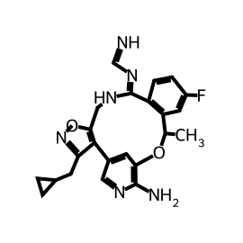 CC1Oc2cc(cnc2N)-c2c(CC3CC3)noc2CN/C(=N\C=N)c2ccc(F)cc21